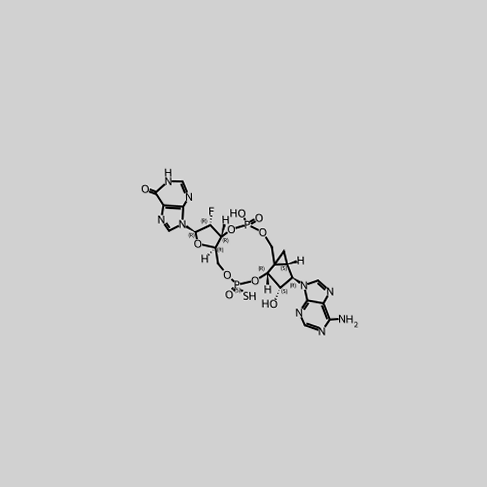 Nc1ncnc2c1ncn2[C@H]1[C@H](O)[C@@H]2O[P@@](=O)(S)OC[C@H]3O[C@@H](n4cnc5c(=O)[nH]cnc54)[C@H](F)[C@@H]3OP(=O)(O)OCC23C[C@H]13